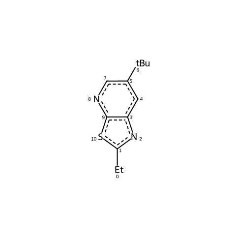 CCc1nc2cc(C(C)(C)C)cnc2s1